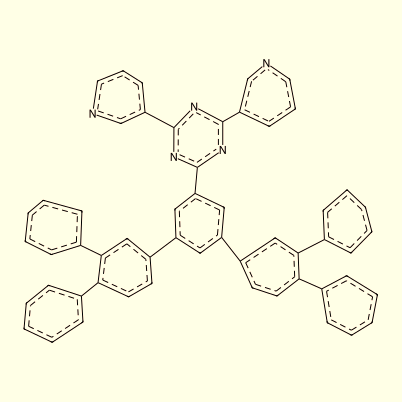 c1ccc(-c2ccc(-c3cc(-c4ccc(-c5ccccc5)c(-c5ccccc5)c4)cc(-c4nc(-c5cccnc5)nc(-c5cccnc5)n4)c3)cc2-c2ccccc2)cc1